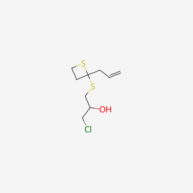 C=CCC1(SCC(O)CCl)CCS1